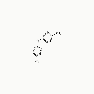 Cc1ccc(Nc2ccc(C)nc2)cn1